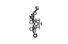 Cc1nc(NC(=O)C(O)CNC(=O)OCc2ccccc2)cn1COCC[Si](C)(C)C